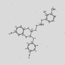 Oc1nccc(CNCCN2Cc3ccc(F)cc3CC2Cc2ccc(F)cc2)c1I